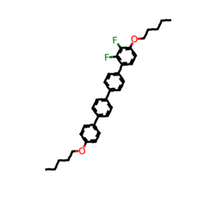 CCCCCOc1ccc(-c2ccc(-c3ccc(-c4ccc(OCCCCC)c(F)c4F)cc3)cc2)cc1